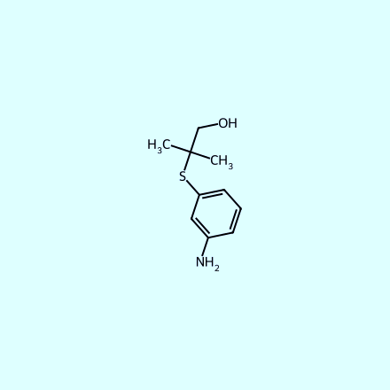 CC(C)(CO)Sc1cccc(N)c1